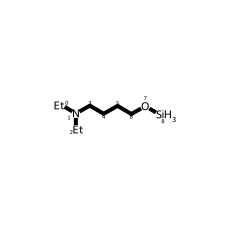 CCN(CC)CCCCO[SiH3]